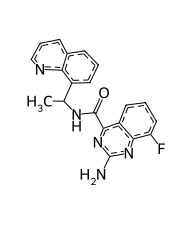 CC(NC(=O)c1nc(N)nc2c(F)cccc12)c1cccc2cccnc12